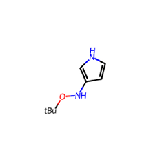 CC(C)(C)ONc1cc[nH]c1